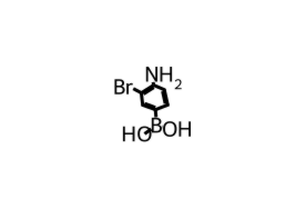 Nc1ccc(B(O)O)cc1Br